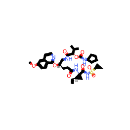 C=C[C@@H]1C[C@]1(NC(=O)CC[C@H](CNC(=O)[C@@H](OC(=O)NC1CCCC1)C(C)C)Oc1nccc2cc(OC)ccc12)C(=O)NS(=O)(=O)C1CC1